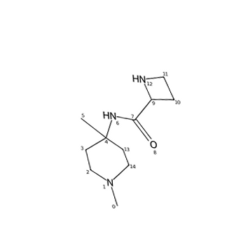 CN1CCC(C)(NC(=O)C2CCN2)CC1